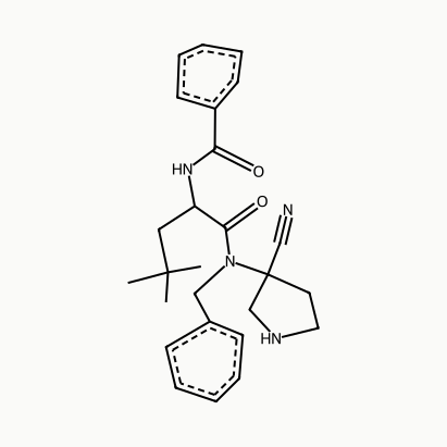 CC(C)(C)CC(NC(=O)c1ccccc1)C(=O)N(Cc1ccccc1)C1(C#N)CCNC1